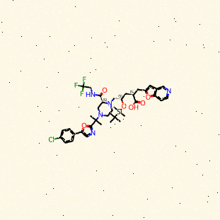 CC(C)(c1ncc(-c2ccc(Cl)cc2)o1)N1CCN(C[C@H](C[C@@H](Cc2cc3cnccc3o2)C(=O)O)O[Si](C)(C)C(C)(C)C)[C@H](C(=O)NCC(F)(F)F)C1